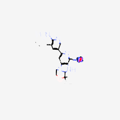 CC1(C)OCCN2c3cc(-c4cnc(N)c(C#N)c4)nc(N4CC5CC4C5)c3NC21